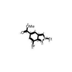 CCn1cc2cc(C(=O)OC)cc(Br)c2n1